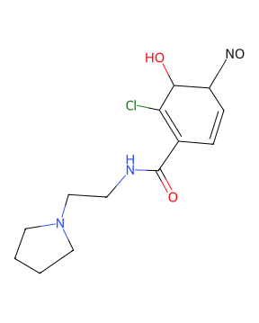 O=NC1C=CC(C(=O)NCCN2CCCC2)=C(Cl)C1O